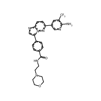 Nc1ncc(-c2ccc3ncc(-c4ccc(C(=O)NCCN5CCOCC5)cc4)n3n2)cc1C(F)(F)F